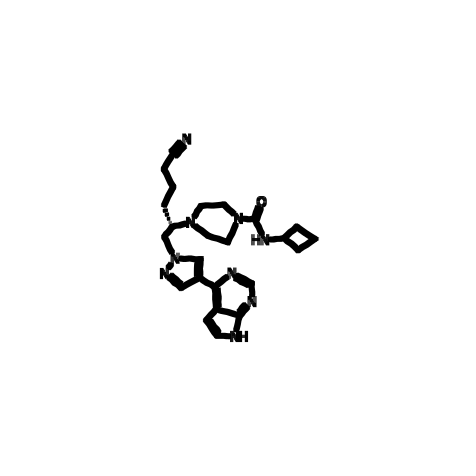 N#CCCC[C@@H](Cn1cc(-c2ncnc3[nH]ccc23)cn1)N1CCN(C(=O)NC2CCC2)CC1